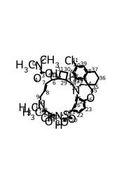 CN(C)C(=O)O[C@@H]1/C=C/CN(C)C(C)(C)C(=O)NS(=O)(=O)c2ccc3c(c2)N(C[C@@H]2CC[C@H]21)C[C@@]1(CCCc2cc(Cl)ccc21)CO3